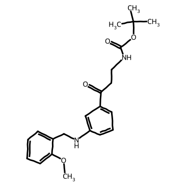 COc1ccccc1CNc1cccc(C(=O)CCNC(=O)OC(C)(C)C)c1